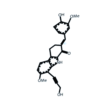 COc1cc(/C=C2\CCc3c([nH]c4c(C#CCO)c(OC)ccc34)C2=O)ccc1O